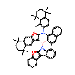 Cc1c(N2c3oc4cc5c(cc4c3B3c4c(cc6ccccc6c42)-c2cccc4c6c7ccccc7oc6n3c24)C(C)(C)CCC5(C)C)ccc2c1C(C)(C)CCC2(C)C